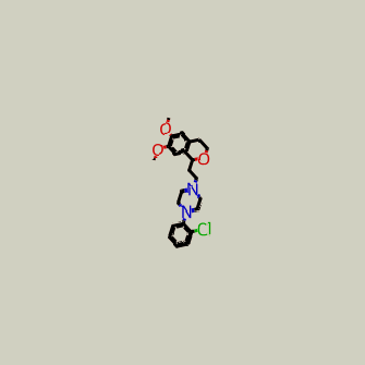 COc1cc2c(cc1OC)C(CCN1CCN(c3ccccc3Cl)CC1)OCC2